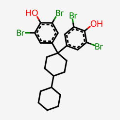 Oc1c(Br)cc(C2(c3cc(Br)c(O)c(Br)c3)CCC(C3CCCCC3)CC2)cc1Br